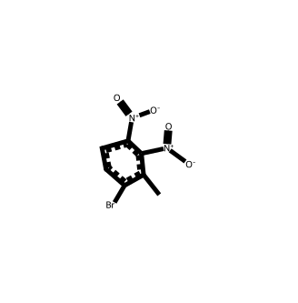 Cc1c(Br)ccc([N+](=O)[O-])c1[N+](=O)[O-]